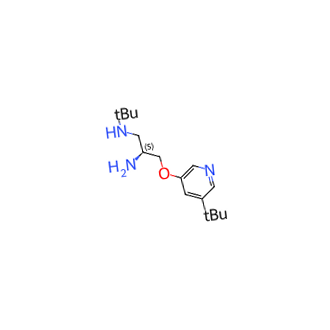 CC(C)(C)NC[C@H](N)COc1cncc(C(C)(C)C)c1